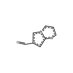 O=Cc1cc2ncccn2c1